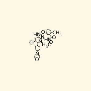 CONC(=O)c1cc(Oc2nc3nc(-c4ccc(N5CCOCC5)cc4)c(Cl)cc3[nH]2)ccc1C